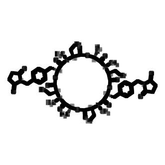 CC(C)C[C@H]1C(=O)O[C@H](Cc2ccc(CN3C(=O)CCC3=O)cc2)C(=O)N(C)[C@@H](CC(C)C)C(=O)O[C@H](C)C(=O)N(C)[C@@H](CC(C)C)C(=O)O[C@H](Cc2ccc(CN3C(=O)CCC3=O)cc2)C(=O)N(C)[C@@H](CC(C)C)C(=O)O[C@H](C)C(=O)N1C